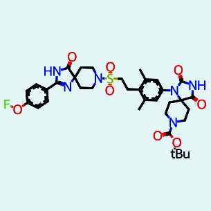 Cc1cc(N2C(=O)NC(=O)C23CCN(C(=O)OC(C)(C)C)CC3)cc(C)c1CCS(=O)(=O)N1CCC2(CC1)N=C(c1ccc(OF)cc1)NC2=O